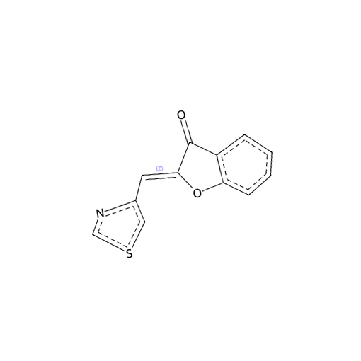 O=C1/C(=C/c2cscn2)Oc2ccccc21